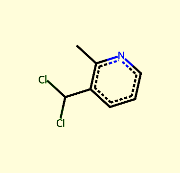 Cc1ncccc1C(Cl)Cl